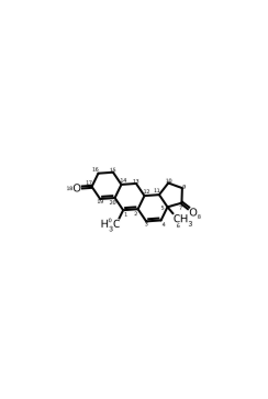 CC1=C2C=CC3(C)C(=O)CCC3C2CC2CCC(=O)C=C12